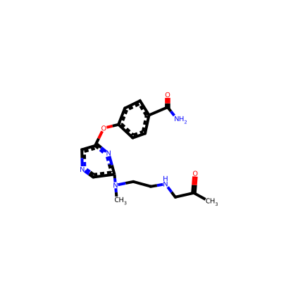 CC(=O)CNCCN(C)c1cncc(Oc2ccc(C(N)=O)cc2)n1